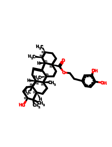 C[C@H]1[C@H](C)CC[C@]2(C(=O)OCCc3ccc(O)c(O)c3)CC[C@]3(C)C(=CC[C@H]4[C@@]5(C)CC[C@H](O)C(C)(C)[C@@H]5CC[C@]43C)[C@H]12